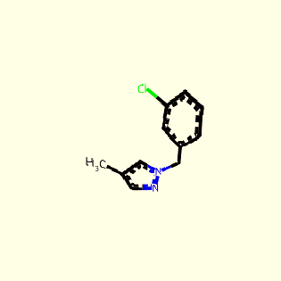 Cc1cnn(Cc2cccc(Cl)c2)c1